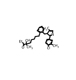 CCC(=O)C(C)(C)CCCCCc1ccccc1CC1C(C)=CN=C1c1ccc(Cl)c(C)c1